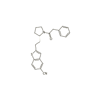 N#Cc1ccc2sc(CC[C@@H]3CCCN3C(=O)Cc3ccccc3)cc2c1